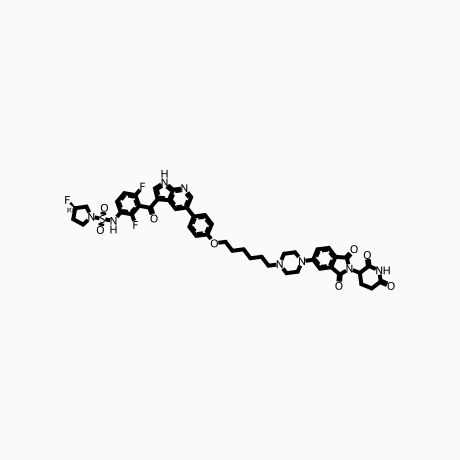 O=C1CCC(N2C(=O)c3ccc(N4CCN(CCCCCCOc5ccc(-c6cnc7[nH]cc(C(=O)c8c(F)ccc(NS(=O)(=O)N9CC[C@@H](F)C9)c8F)c7c6)cc5)CC4)cc3C2=O)C(=O)N1